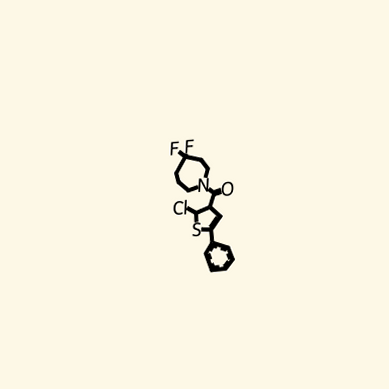 O=C(C1C=C(c2ccccc2)SC1Cl)N1CCCC(F)(F)CC1